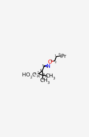 CC(C)CCON=CC1[C@@H](C(=O)O)C1(C)C